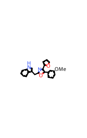 COc1cccc(-c2oc(Cc3c[nH]c4ccccc34)nc2-c2ccco2)c1